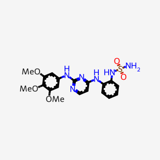 COc1cc(Nc2nccc(Nc3ccccc3NS(N)(=O)=O)n2)cc(OC)c1OC